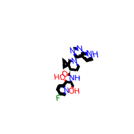 O=C(NC(CO)C(O)c1ccc(F)cn1)[C@H]1CCN(c2ncnc3[nH]ccc23)CC12CC2